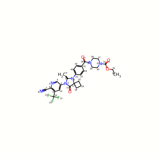 C=C1N(c2cnc(C#N)c(C(F)(F)F)c2)C(=O)C2(CCC2)N1c1ccc(C(=O)N2CCN(C(=O)OCC)CC2)cc1